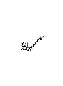 Cc1cc(C)c(NC(=O)C(C)(C)CCCCCCNC(C)C)c2c1CC(C)(C)O2